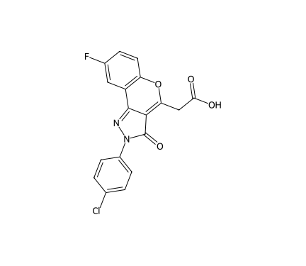 O=C(O)Cc1oc2ccc(F)cc2c2nn(-c3ccc(Cl)cc3)c(=O)c1-2